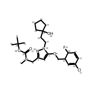 CN(Cc1cc(OCC2C=C(Cl)C=CC2F)n(CCC2(O)CCCC2)n1)C(=O)OC(C)(C)C